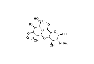 CC(=O)N[C@@H]1[C@@H](O)[C@H](O[C@@H]2O[C@H](CO)[C@H](O)[C@H](OS(=O)(=O)O)[C@H]2O)[C@@H](COS(=O)(=O)O)O[C@H]1O